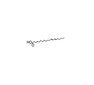 CCCCCC=CC=CCCCCCCCCCCC(=O)O